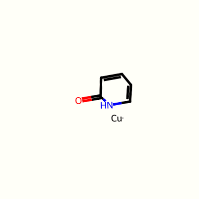 O=c1cccc[nH]1.[Cu]